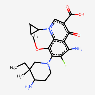 CCC1(C)CN(c2c(F)c(N)c3c(=O)c(C(=O)O)cn(C4CC4)c3c2OC)CCC1N